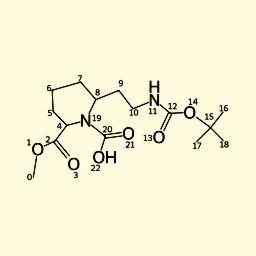 COC(=O)C1CCCC(CCNC(=O)OC(C)(C)C)N1C(=O)O